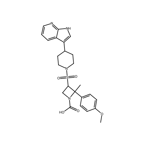 COc1ccc(C2(C)C(S(=O)(=O)N3CCC(c4c[nH]c5ncccc45)CC3)CN2C(=O)O)cc1